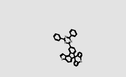 c1ccc(-c2nc(-c3ccccc3)nc(-c3ccc4c(c3)-c3c(ccc5sccc35)C43c4ccccc4Sc4ccccc43)n2)cc1